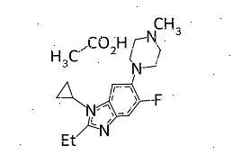 CC(=O)O.CCc1nc2cc(F)c(N3CCN(C)CC3)cc2n1C1CC1